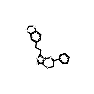 c1ccc(C2=Nn3c(CCc4ccc5c(c4)OCO5)nnc3SC2)cc1